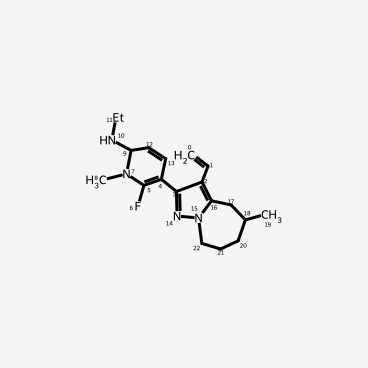 C=Cc1c(C2=C(F)N(C)C(NCC)C=C2)nn2c1CC(C)CCC2